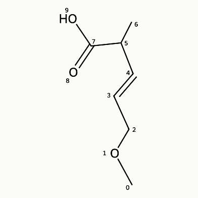 COCC=CC(C)C(=O)O